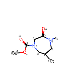 CCC1CN(C)C(=O)CN(C(=O)OC(C)(C)C)C1